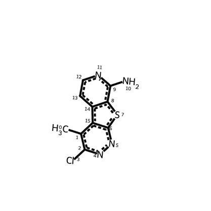 Cc1c(Cl)nnc2sc3c(N)nccc3c12